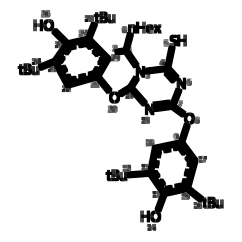 CCCCCCC(C)N1C(S)=NC(Oc2cc(C(C)(C)C)c(O)c(C(C)(C)C)c2)=NC1Oc1cc(C(C)(C)C)c(O)c(C(C)(C)C)c1